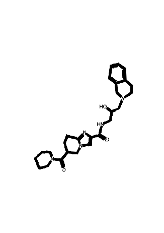 O=C(NCC(O)CN1CCc2ccccc2C1)c1cn2c(n1)CCC(C(=O)N1CCCCC1)C2